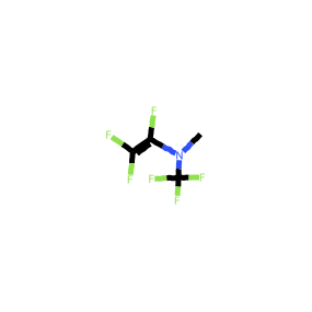 CN(C(F)=C(F)F)C(F)(F)F